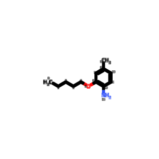 CCCCCOc1cc(C)ccc1N